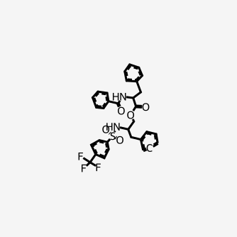 O=C(NC(Cc1ccccc1)C(=O)OCC(Cc1ccccc1)NS(=O)(=O)c1ccc(C(F)(F)F)cc1)c1ccccc1